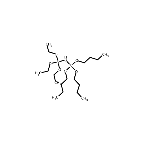 CCCCO[Si](B[Si](OCC)(OCC)OCC)(OCCCC)OCCCC